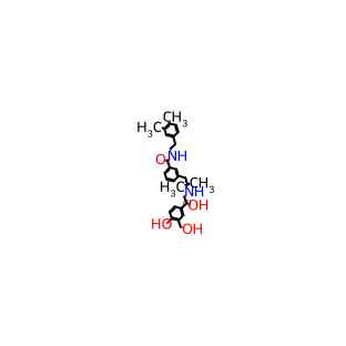 Cc1ccc(CCNC(=O)c2cccc(CC(C)(C)NC[C@@H](O)c3ccc(O)c(CO)c3)c2)cc1C